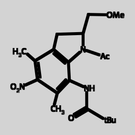 COCC1Cc2c(C)c([N+](=O)[O-])c(C)c(NC(=O)C(C)(C)C)c2N1C(C)=O